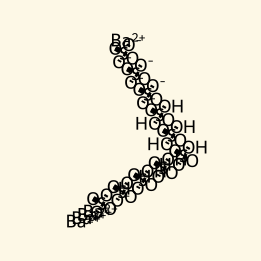 O=S(=O)(O)O.O=S(=O)(O)O.O=S(=O)(O)O.O=S(=O)(O)O.O=S(=O)(O)O.O=S(=O)([O-])[O-].O=S(=O)([O-])[O-].O=S(=O)([O-])[O-].O=S(=O)([O-])[O-].O=S(=O)([O-])[O-].[Ba+2].[Ba+2].[Ba+2].[Ba+2].[Ba+2]